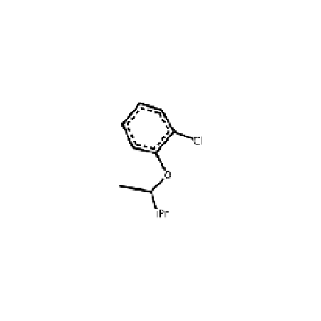 CC(C)C(C)Oc1ccccc1Cl